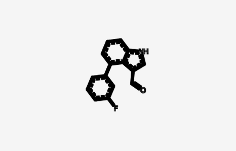 O=Cc1c[nH]c2cccc(-c3cccc(F)c3)c12